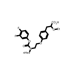 CCCCCCN(CCOc1ccc(CC(OCC)C(=O)O)cc1)C(=O)Oc1ccc(F)c(F)c1